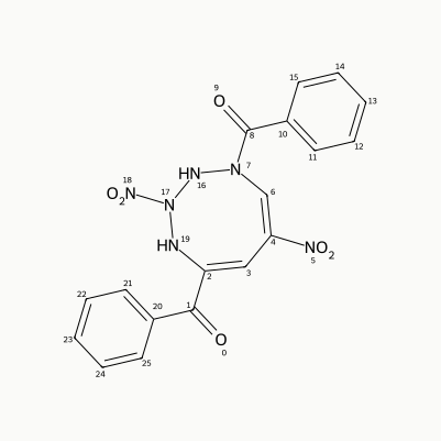 O=C(C1=CC([N+](=O)[O-])=CN(C(=O)c2ccccc2)NN([N+](=O)[O-])N1)c1ccccc1